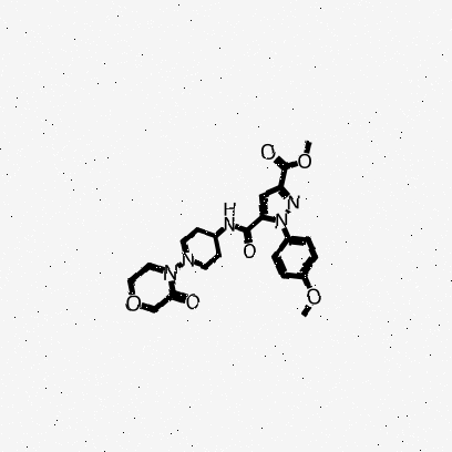 COC(=O)c1cc(C(=O)NC2CCN(N3CCOCC3=O)CC2)n(-c2ccc(OC)cc2)n1